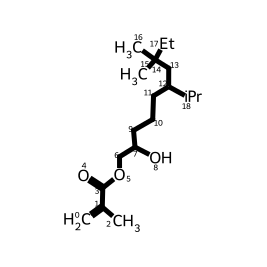 C=C(C)C(=O)OCC(O)CCCC(CC(C)(C)CC)C(C)C